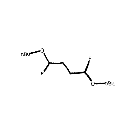 CCCCOC(F)CCC(F)OCCCC